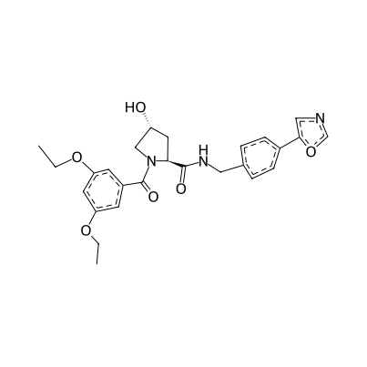 CCOc1cc(OCC)cc(C(=O)N2C[C@H](O)C[C@H]2C(=O)NCc2ccc(-c3cnco3)cc2)c1